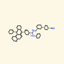 N#Cc1ccc(-c2cccc(C/N=C(\Nc3ccccc3)c3ccc(-c4c5ccccc5c(-c5ccccc5)c5c4ccc4ccccc45)cc3)c2)cc1